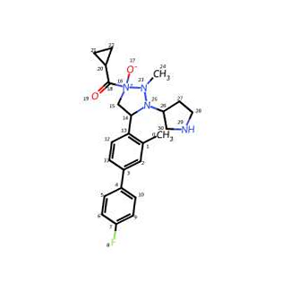 Cc1cc(-c2ccc(F)cc2)ccc1C1C[N+]([O-])(C(=O)C2CC2)N(C)N1C1CCNC1